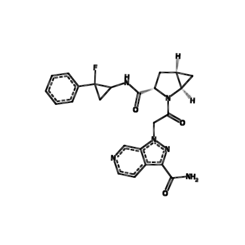 NC(=O)c1nn(CC(=O)N2[C@@H]3C[C@@H]3C[C@H]2C(=O)NC2CC2(F)c2ccccc2)c2cnccc12